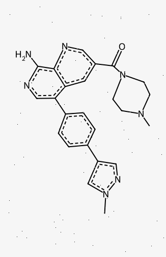 CN1CCN(C(=O)c2cnc3c(N)ncc(-c4ccc(-c5cnn(C)c5)cc4)c3c2)CC1